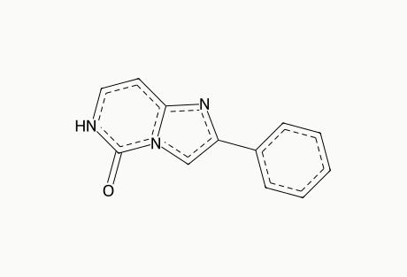 O=c1[nH]ccc2nc(-c3ccccc3)cn12